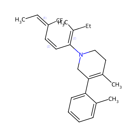 C\C=C(/C=C\C(=C(/C)CC)N1CCC(C)=C(c2ccccc2C)C1)C(F)(F)F